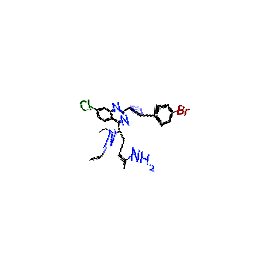 CCN(CC)C(CCC(C)N)c1nc(/C=C/c2ccc(Br)cc2)nc2cc(Cl)ccc12